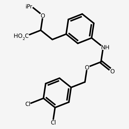 CC(C)OC(Cc1cccc(NC(=O)OCc2ccc(Cl)c(Cl)c2)c1)C(=O)O